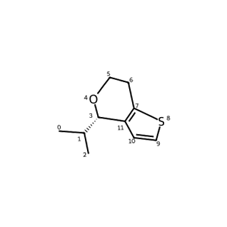 CC(C)[C@@H]1OCCc2sccc21